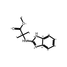 COC(=O)C(C)(C)Nc1nc2ccccc2[nH]1